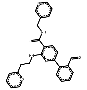 O=Cc1ccccc1-c1ccc(C(=O)NCc2cccnc2)c(NCCc2ccccn2)n1